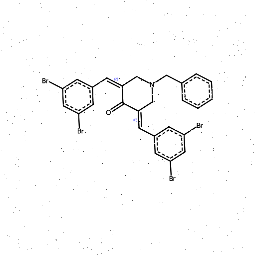 O=C1/C(=C\c2cc(Br)cc(Br)c2)CN(Cc2ccccc2)C/C1=C\c1cc(Br)cc(Br)c1